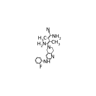 CC(=C(/N)C#N)/C(C)=C(\N)N1CCc2ncc(Nc3ccccc3F)cc2C1